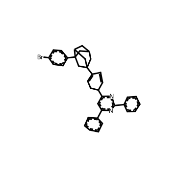 Brc1ccc(C23CC4CC2CC(C2=CCC(c5cc(-c6ccccc6)nc(-c6ccccc6)n5)C=C2)(C4)C3)cc1